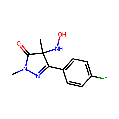 CN1N=C(c2ccc(F)cc2)C(C)(NO)C1=O